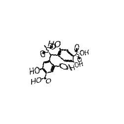 CS(=O)(=O)C(c1cc(O)c(C(=O)O)cc1O)c1cc(O)c(S(=O)(=O)O)cc1O